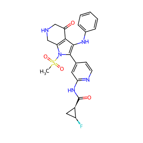 CS(=O)(=O)n1c2c(c(Nc3ccccc3)c1-c1ccnc(NC(=O)[C@@H]3C[C@@H]3F)c1)C(=O)CNC2